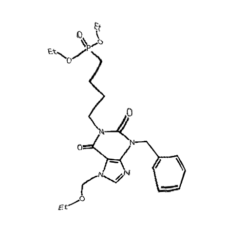 CCOCn1cnc2c1c(=O)n(CCCCP(=O)(OCC)OCC)c(=O)n2Cc1ccccc1